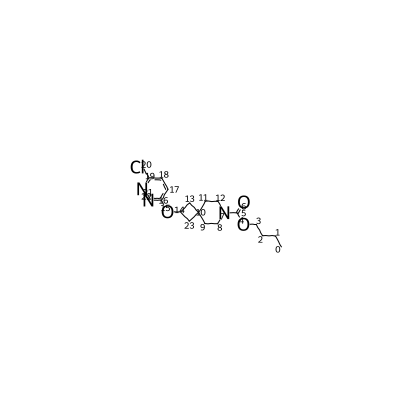 CCCCOC(=O)N1CCC2(CC1)CC(Oc1ccc(Cl)nn1)C2